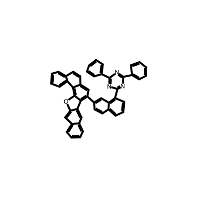 c1ccc(-c2nc(-c3ccccc3)nc(-c3cccc4ccc(-c5cc6ccc7ccccc7c6c6oc7cc8ccccc8cc7c56)cc34)n2)cc1